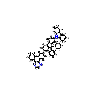 c1ccc2c(c1)-c1ccccc1C21c2cc(-c3ccc4c(c3)c3ccccc3c3nccnc43)ccc2-c2ccc(-n3c4ccccc4c4ccccc43)cc21